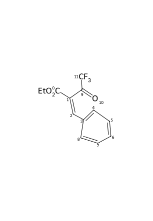 CCOC(=O)C(=Cc1ccccc1)C(=O)C(F)(F)F